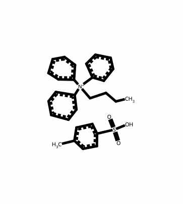 CCCC[N+](c1ccccc1)(c1ccccc1)c1ccccc1.Cc1ccc(S(=O)(=O)O)cc1